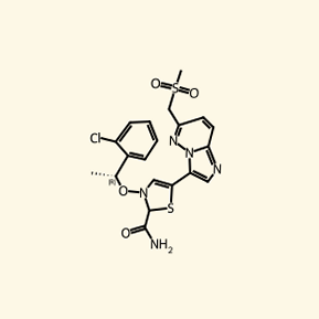 C[C@@H](ON1C=C(c2cnc3ccc(CS(C)(=O)=O)nn23)SC1C(N)=O)c1ccccc1Cl